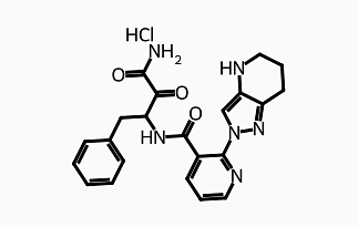 Cl.NC(=O)C(=O)C(Cc1ccccc1)NC(=O)c1cccnc1-n1cc2c(n1)CCCN2